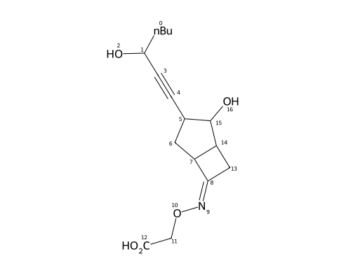 CCCCC(O)C#CC1CC2/C(=N\OCC(=O)O)CC2C1O